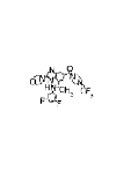 CC(Nc1cc(F)cc(F)c1)c1cc(C(=O)N2CCN(CC(F)(F)F)CC2)cc2ncc(N3CCOCC3)nc12